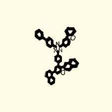 c1ccc(-c2ccc(-c3nc(-c4ccc(-c5cc(-c6cccc7ccccc67)cc6oc7cc8ccccc8cc7c56)cc4)nc(-c4ccc5oc6ccccc6c5c4)n3)cc2)cc1